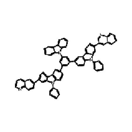 c1ccc(-n2c3ccc(-c4cc(-c5ccc6c(c5)c5ccc(-c7cnc8ccccc8c7)cc5n6-c5ccccc5)cc(-n5c6ccccc6c6ccccc65)c4)cc3c3ccc(-c4ccc5ncccc5c4)cc32)cc1